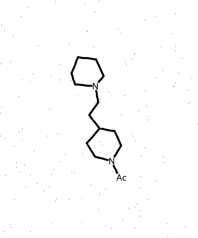 CC(=O)N1CCC(CCN2CCCCC2)CC1